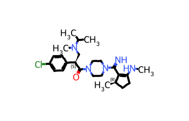 CNC1=C(C(=N)N2CCN(C(=O)[C@H](CN(C)C(C)C)c3ccc(Cl)cc3)CC2)[C@H](C)CC1